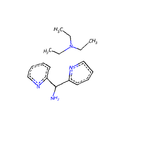 CCN(CC)CC.NC(c1ccccn1)c1ccccn1